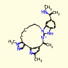 C=C1/N=C2\Nc3ccc(C(=C)NC)cc3N2CCCCCCc2c(cnn2C)-c2cc1cc(C)n2